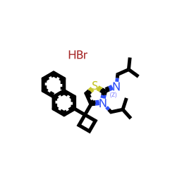 Br.CC(C)C/N=c1\scc(C2(c3ccc4ccccc4c3)CCC2)n1CC(C)C